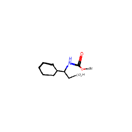 CCCCOC(=O)NC(CC(=O)O)C1CCCCC1